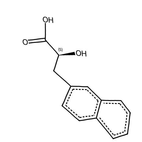 O=C(O)[C@@H](O)Cc1ccc2ccccc2c1